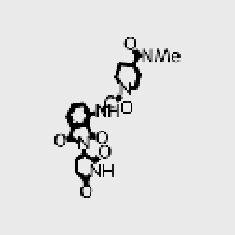 CNC(=O)C1CCN(C(=O)CNc2cccc3c2C(=O)N(C2CCC(=O)NC2=O)C3=O)CC1